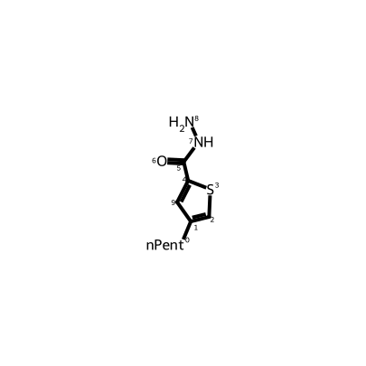 CCCCCc1csc(C(=O)NN)c1